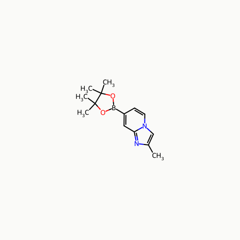 Cc1cn2ccc(B3OC(C)(C)C(C)(C)O3)cc2n1